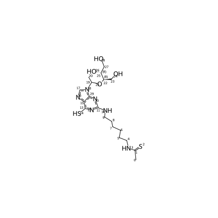 CC(=S)NCCCCCCNc1nc(S)c2ncn(C(C)O[C@H](CO)[C@H](O)CO)c2n1